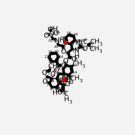 CC(=O)O[C@@]12COC1C[C@H](O)[C@@](C)(C(=O)[C@@H](C)O)[C@@H]2[C@H](OC(=O)c1ccccc1)[C@]1(O)C[C@H](OC(=O)[C@H](OC(=O)CNCS(=O)(=O)O)[C@@H](NC(=O)OC(C)(C)C)c2ccccc2)C(C)=CC1(C)C